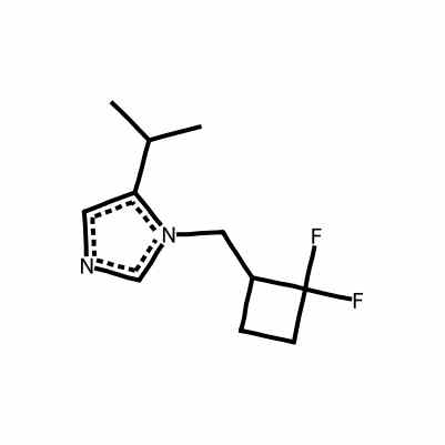 CC(C)c1cncn1CC1CCC1(F)F